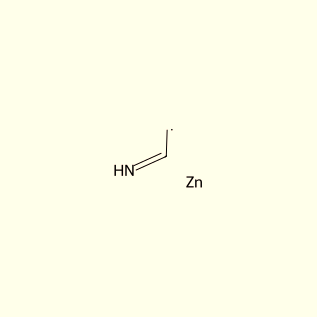 [CH2]C=N.[Zn]